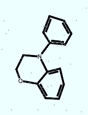 c1ccc(N2CCOc3ccccc32)cc1